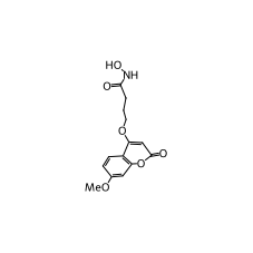 COc1ccc2c(OCCCC(=O)NO)cc(=O)oc2c1